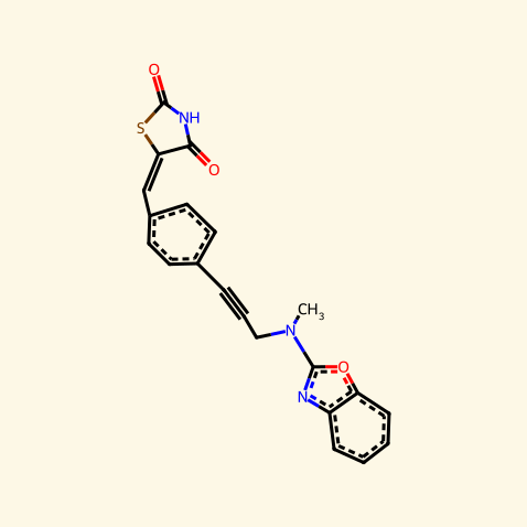 CN(CC#Cc1ccc(C=C2SC(=O)NC2=O)cc1)c1nc2ccccc2o1